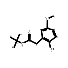 COc1ccc(O)c(CC(=O)OC(C)(C)C)c1